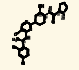 C[C@@H](Nc1nc(N2CC[C@@H](NC(=O)[C@H]3CCCN3)[C@@H](O)C2)ncc1Cl)c1ccc(Cl)cc1Cl